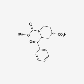 CC(C)(C)OC(=O)N1CCN(C(=O)O)CC1C(=O)c1ccccc1